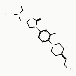 CC(C)CN(C[C@H]1CN(c2ccc(N3CCC(=CCC#N)CC3)c(F)c2)C(=O)O1)C(=O)O